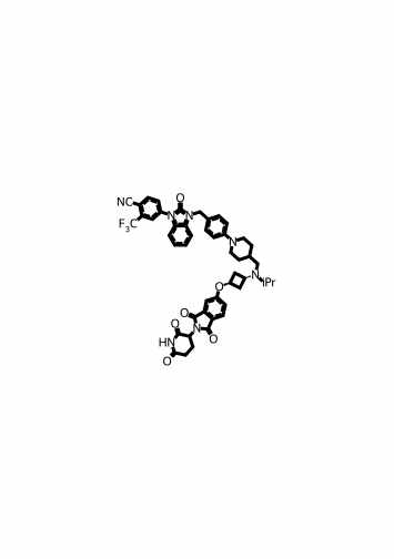 CC(C)N(CC1CCN(c2ccc(Cn3c(=O)n(-c4ccc(C#N)c(C(F)(F)F)c4)c4ccccc43)cc2)CC1)[C@H]1C[C@H](Oc2ccc3c(c2)C(=O)N(C2CCC(=O)NC2=O)C3=O)C1